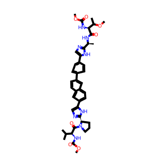 COC(=O)N[C@H](C(=O)N1CCC[C@H]1c1ncc(-c2ccc3cc(-c4ccc(-c5cnc([C@H](C)NC(=O)[C@@H](NC(=O)OC)C(C)OC)[nH]5)cc4)ccc3c2)[nH]1)C(C)C